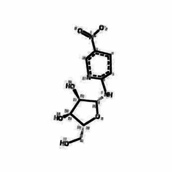 O=[N+]([O-])c1ccc(N[C@@H]2O[C@H](CO)[C@@H](O)[C@H]2O)nc1